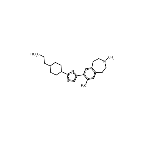 CN1CCc2cc(-c3csc(C4CCC(CCC(=O)O)CC4)n3)c(C(F)(F)F)cc2CC1